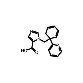 O=C(O)c1cncn1CC1(c2ccccn2)C=CC=CC1